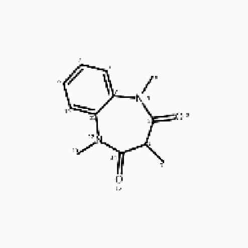 CC1C(=O)N(C)c2ccccc2N(C)C1=O